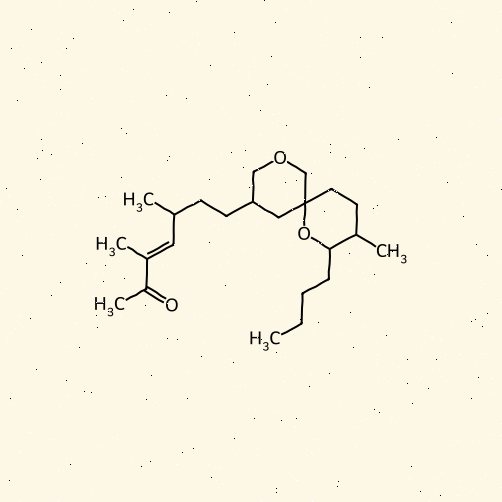 CCCCC1OC2(CCC1C)COCC(CCC(C)/C=C(\C)C(C)=O)C2